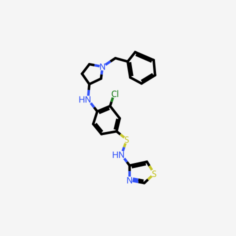 Clc1cc(SNc2cscn2)ccc1NC1CCN(Cc2ccccc2)C1